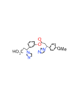 COc1ccc(C(CC(=O)Oc2cccc(C(CC(=O)O)n3ccnc3)c2)n2ccnc2)cc1